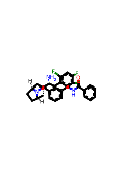 N[C@H](Cc1cc(F)c(F)cc1F)[C@@H]1C[C@H]2CC[C@@H](C1)N2Cc1cccc(CNC(=O)c2ccccc2)c1